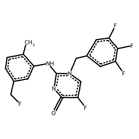 Cc1ccc(CF)cc1Nc1nc(=O)c(F)cn1Cc1cc(F)c(F)c(F)c1